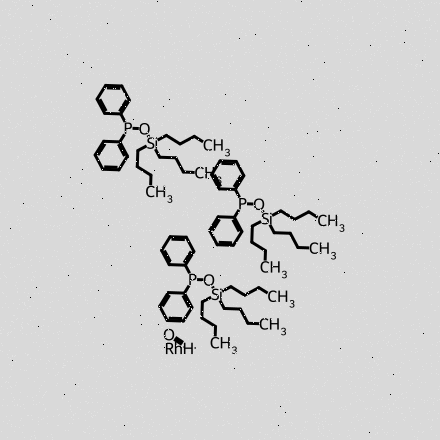 CCCC[Si](CCCC)(CCCC)OP(c1ccccc1)c1ccccc1.CCCC[Si](CCCC)(CCCC)OP(c1ccccc1)c1ccccc1.CCCC[Si](CCCC)(CCCC)OP(c1ccccc1)c1ccccc1.[C]=O.[RhH]